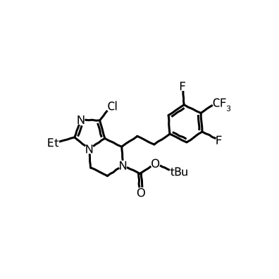 CCc1nc(Cl)c2n1CCN(C(=O)OC(C)(C)C)C2CCc1cc(F)c(C(F)(F)F)c(F)c1